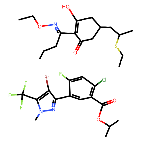 CC(C)OC(=O)c1cc(-c2nn(C)c(C(F)(F)F)c2Br)c(F)cc1Cl.CCC/C(=N\OCC)C1=C(O)CC(CC(C)SCC)CC1=O